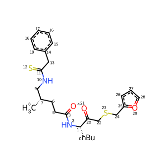 CCCC[C@H](NC(=O)CC[C@H](C)CNC(=S)Cc1ccccc1)C(=O)CSCc1ccco1